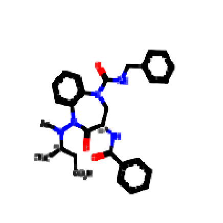 CC(=O)N([C@H](C=O)CC(=O)O)N1C(=O)[C@@H](NC(=O)c2ccccc2)CN(C(=O)NCc2ccccc2)c2ccccc21